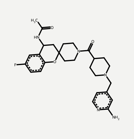 CC(=O)NC1CC2(CCN(C(=O)C3CCN(Cc4ccnc(N)c4)CC3)CC2)Oc2ccc(F)cc21